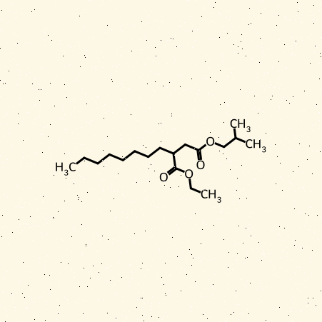 CCCCCCCCC(CC(=O)OCC(C)C)C(=O)OCC